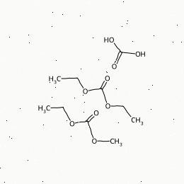 CCOC(=O)OC.CCOC(=O)OCC.O=C(O)O